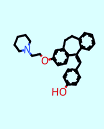 Oc1ccc(C=C2c3ccccc3CCc3cc(OCCN4CCCCC4)ccc32)cc1